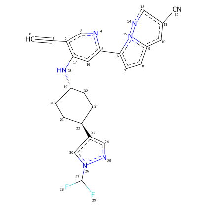 C#Cc1cnc(-c2ccc3cc(C#N)cnn23)cc1N[C@H]1CC[C@H](c2cnn(C(F)F)c2)CC1